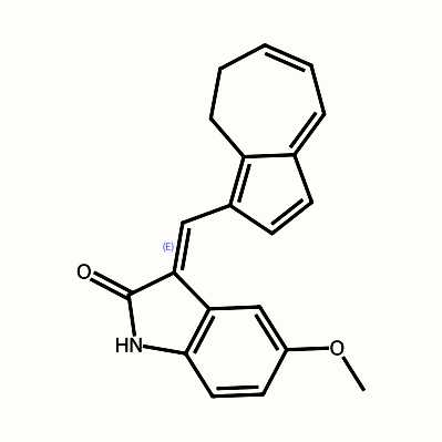 COc1ccc2c(c1)/C(=C\C1=C3CCC=CC=C3C=C1)C(=O)N2